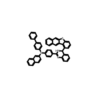 c1ccc(-c2ccc(N(c3ccc(C4=Nc5ccccc5C(c5cccc6sc7cc8ccccc8cc7c56)N4)cc3)c3ccc4ccccc4c3)cc2)cc1